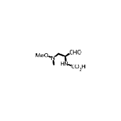 CON(C)CC(C=O)NC(=O)O